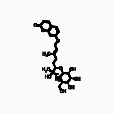 C/C(=C\COc1ccc2ccc(=O)oc2c1)CC[C@@H](O[C@@H]1O[C@H](CO)[C@@H](O)[C@H](O)[C@H]1O)C(C)(C)O